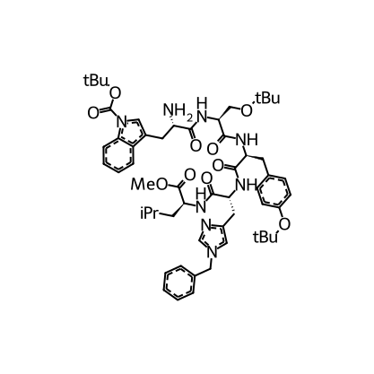 COC(=O)[C@H](CC(C)C)NC(=O)[C@@H](Cc1cn(Cc2ccccc2)cn1)NC(=O)[C@H](Cc1ccc(OC(C)(C)C)cc1)NC(=O)[C@H](COC(C)(C)C)NC(=O)[C@@H](N)Cc1cn(C(=O)OC(C)(C)C)c2ccccc12